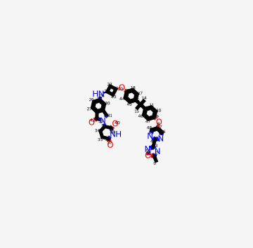 Cc1nc(-c2ncc(Oc3ccc(C(C)(C)c4ccc(O[C@H]5C[C@H](Nc6ccc7c(c6)CN(C6CCC(=O)NC6=O)C7=O)C5)cc4)cc3)cn2)no1